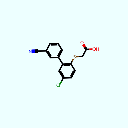 N#Cc1cccc(-c2cc(Cl)ccc2SCC(=O)O)c1